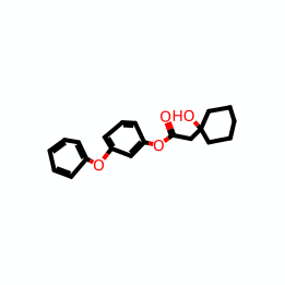 O=C(CC1(O)CCCCC1)Oc1cccc(Oc2ccccc2)c1